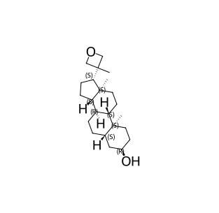 CC1([C@H]2CC[C@H]3[C@@H]4CC[C@H]5C[C@H](O)CC[C@]5(C)[C@H]4CC[C@]23C)COC1